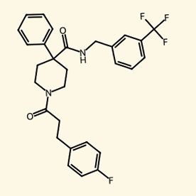 O=C(CCc1ccc(F)cc1)N1CCC(C(=O)NCc2cccc(C(F)(F)F)c2)(c2ccccc2)CC1